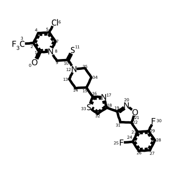 O=c1c(C(F)(F)F)cc(Cl)cn1CC(=S)N1CCC(c2nc(C3=NOC(c4c(F)cccc4F)C3)cs2)CC1